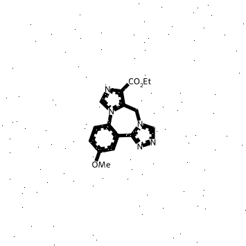 CCOC(=O)c1ncn2c1Cn1cnnc1-c1cc(OC)ccc1-2